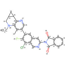 Cc1c(-c2cc3cc(N4C(=O)c5ccccc5C4=O)ncc3c(Cl)c2F)cnc2c1N(C(=O)O)CC1CC21